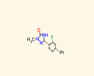 CC(C)c1ccc(-c2nn(C)c(=O)[nH]2)c(F)c1